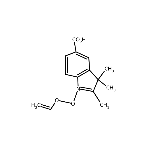 C=COO[N+]1=C(C)C(C)(C)c2cc(C(=O)O)ccc21